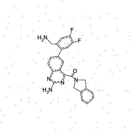 NCc1cc(F)c(F)cc1-c1ccc2nc(N)nc(C(=O)N3Cc4ccccc4C3)c2c1